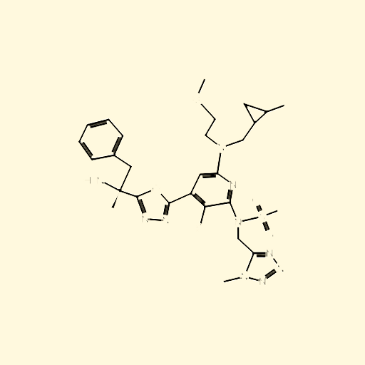 COCCN(CC1CC1C)c1cc(-c2nnc([C@](C)(N)Cc3ccccc3)o2)c(Cl)c(N(Cc2nnnn2C)S(C)(=O)=O)n1